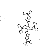 CC1(C)c2cc(-c3c4ccc(N(c5ccccc5)c5ccccc5)cc4c(-c4ccc5c(c4)C(C)(C)c4cc(N(c6ccccc6)c6ccccc6)ccc4-5)c4ccc(N(c5ccccc5)c5ccccc5)cc34)ccc2-c2ccc(N(c3ccccc3)c3ccccc3)cc21